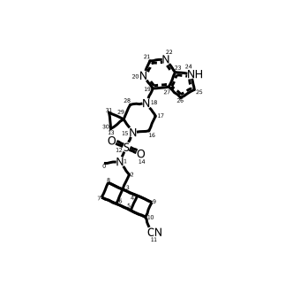 CN(CC12C3C4C1C1C2C3C41C#N)S(=O)(=O)N1CCN(c2ncnc3[nH]ccc23)CC12CC2